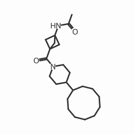 CC(=O)NC12CC(C(=O)N3CCC(C4CCCCCCCCC4)CC3)(C1)C2